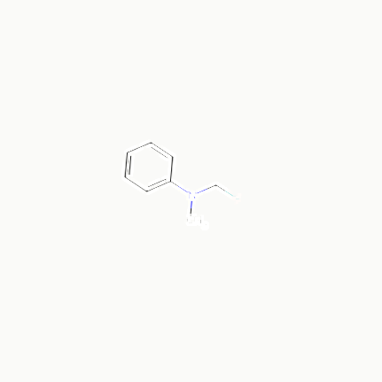 CN(CF)c1ccccc1